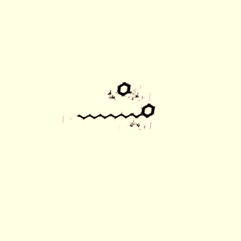 CCCCCCCCCCCCC(c1ccccc1)N(C)C.O=[N+]([O-])c1cccc(S(=O)(=O)O)c1